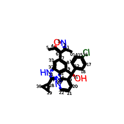 Cc1noc(C)c1-c1cc(C(O)(c2ccc(Cl)cc2)c2cccnc2)c2nc(C3CC3)[nH]c2c1